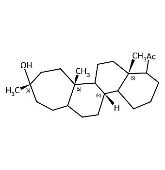 CC(=O)C1CCCC2[C@@H]3CCC4CC[C@](C)(O)CC[C@]4(C)C3CC[C@]12C